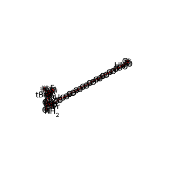 CC(C)C(NC(=O)CCOCCOCCOCCOCCOCCOCCOCCOCCOCCOCCOCCOCCOCCOCCOCCOCCOCCOCCOCCOCCNC(=O)CCN1C(=O)C=CC1=O)C(=O)N[C@@H](CCCNC(N)=O)C(=O)NCCCN(C(=O)CO)[C@@H](c1nc(-c2cc(F)ccc2F)cn1Cc1ccccc1)C(C)(C)C